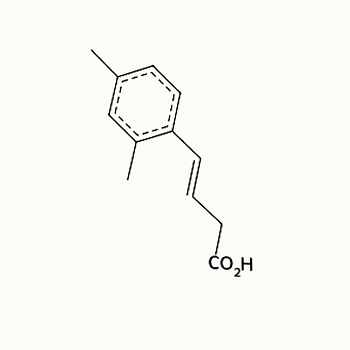 Cc1ccc(/C=C/CC(=O)O)c(C)c1